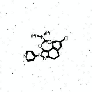 CC(C)N(C(=O)Oc1c2c(nn1-c1ccncc1)CCc1cc(Cl)ccc1-2)C(C)C